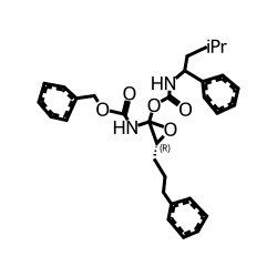 CC(C)CC(NC(=O)OC1(NC(=O)OCc2ccccc2)O[C@@H]1CCCc1ccccc1)c1ccccc1